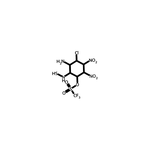 NC1C(Cl)C([N+](=O)[O-])C([N+](=O)[O-])C(OS(=O)(=O)C(F)(F)F)C1NS